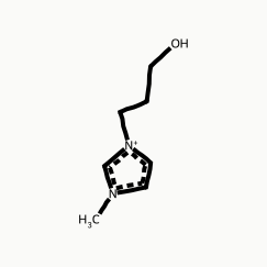 Cn1cc[n+](CCCO)c1